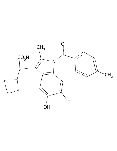 Cc1ccc(C(=O)n2c(C)c(C(C(=O)O)C3CCC3)c3cc(O)c(F)cc32)cc1